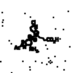 CC(=O)c1nc2c(N)cc(S(=O)(=O)n3c(CCCC(=O)O)cc4nc(Cl)ccc43)cc2s1